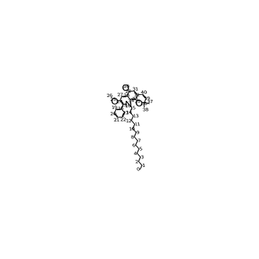 CCCCCCCCCCCCCCCCn1c(-c2ccccc2)c(OC)cc2c(=O)cc3c(c1-2)OC(C)(C)C=C3